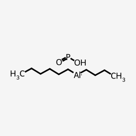 CCCCC[CH2][Al][CH2]CCC.O=PO